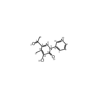 CC(=O)c1nn(-c2cccnc2)c(=O)c(Cl)c1C